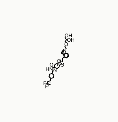 O=C1NC(C2CCC(CCC(F)(F)F)CC2)=NC12CCN(S(=O)(=O)CCc1cccc3c1ccn3CCOCC(O)CO)CC2